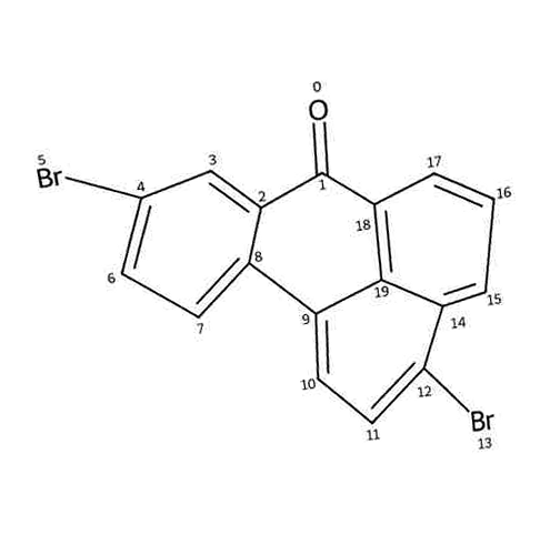 O=C1c2cc(Br)ccc2-c2ccc(Br)c3cccc1c23